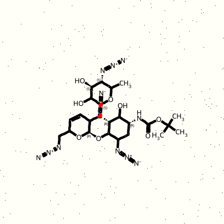 CC1O[C@@H](O[C@H]2C(O[C@H]3OC(CN=[N+]=[N-])C=CC3N=[N+]=[N-])C(N=[N+]=[N-])C[C@@H](NC(=O)OC(C)(C)C)C2O)C(O)[C@@H](O)[C@@H]1N=[N+]=[N-]